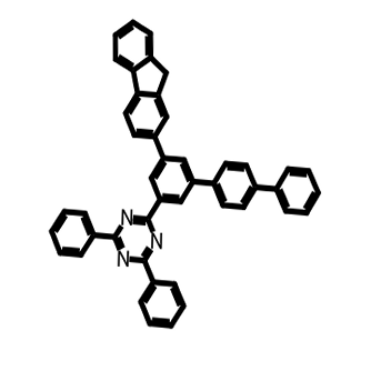 c1ccc(-c2ccc(-c3cc(-c4ccc5c(c4)Cc4ccccc4-5)cc(-c4nc(-c5ccccc5)nc(-c5ccccc5)n4)c3)cc2)cc1